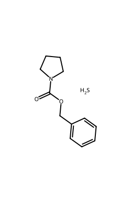 O=C(OCc1ccccc1)N1CCCC1.S